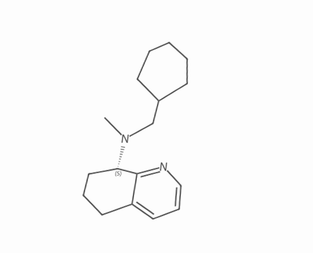 CN(CC1CCCCC1)[C@H]1CCCc2cccnc21